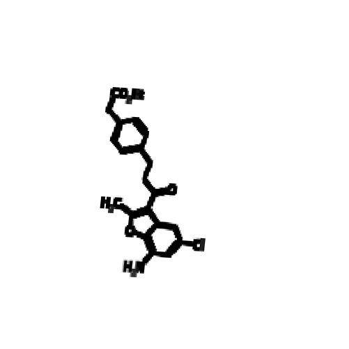 CCOC(=O)Cc1ccc(CCC(=O)c2c(C)oc3c(N)cc(Cl)cc23)cc1